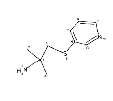 CC(C)(N)CSc1cccnc1